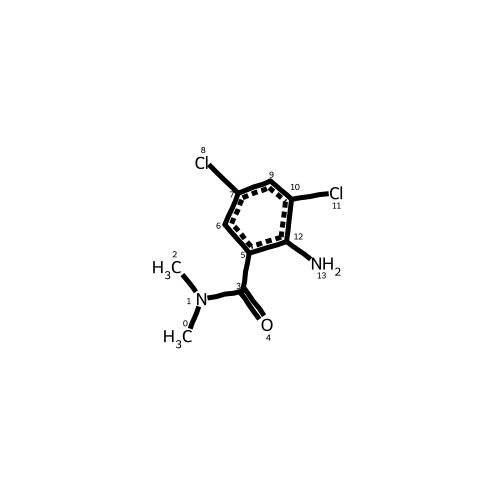 CN(C)C(=O)c1cc(Cl)cc(Cl)c1N